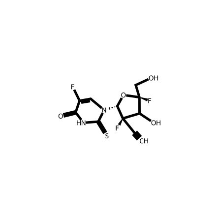 C#C[C@@]1(F)C(O)[C@@](F)(CO)O[C@H]1n1cc(F)c(=O)[nH]c1=S